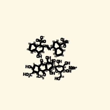 Cc1c(C(=O)O)c(O)cc2c1C(=O)c1c(O)c([C@@H]3O[C@H](CO)[C@@H](O)[C@H](O)[C@H]3O)c(O)c(O)c1C2=O.O=S(=O)([O-])c1ccc(/N=N/c2cc(O)c3ccccc3c2S(=O)(=O)[O-])c2ccccc12.[Na+].[Na+]